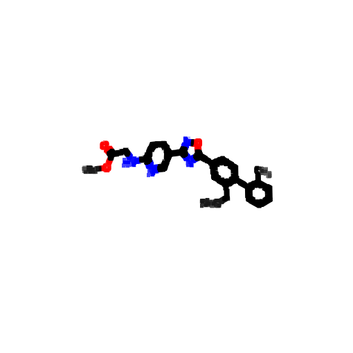 COCc1cc(-c2nc(-c3ccc(NCC(=O)OC(C)(C)C)nc3)no2)ccc1-c1ccccc1C